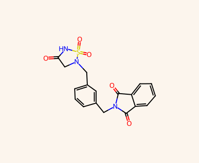 O=C1CN(Cc2cccc(CN3C(=O)c4ccccc4C3=O)c2)S(=O)(=O)N1